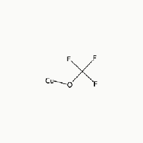 FC(F)(F)[O][Cu]